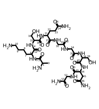 CC(N)C(=O)NC(CCCCN)C(=O)NC(CO)C(=O)NC(CCC(N)=O)C(=O)NCC(=O)NCC(=O)NC(CO)C(=O)NC(CC(N)=O)C(=O)NCC(N)=O